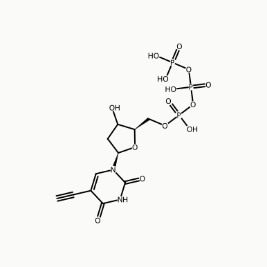 C#Cc1cn([C@H]2CC(O)[C@@H](COP(=O)(O)OP(=O)(O)OP(=O)(O)O)O2)c(=O)[nH]c1=O